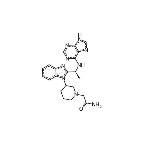 C[C@H](Nc1ncnc2[nH]cnc12)c1nc2ccccc2n1C1CCCN(CC(N)=O)C1